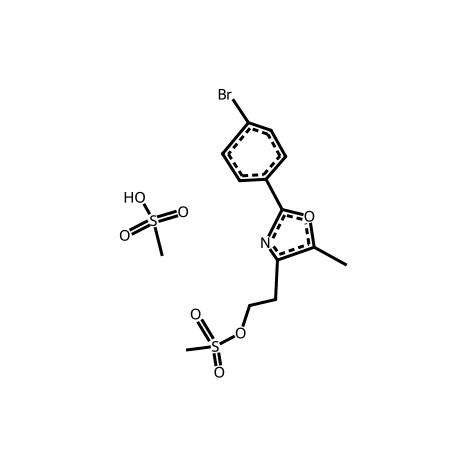 CS(=O)(=O)O.Cc1oc(-c2ccc(Br)cc2)nc1CCOS(C)(=O)=O